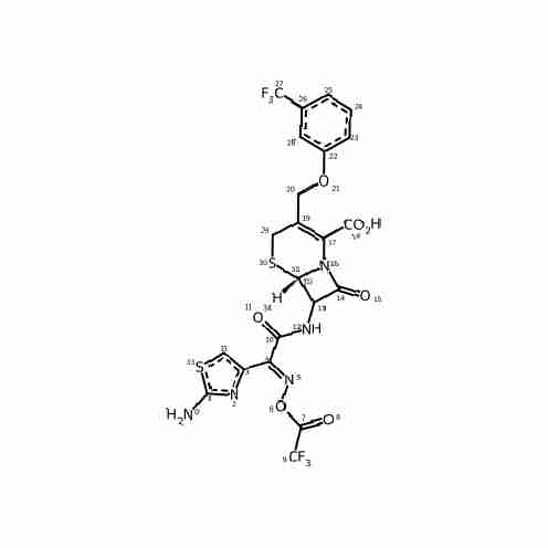 Nc1nc(C(=NOC(=O)C(F)(F)F)C(=O)NC2C(=O)N3C(C(=O)O)=C(COc4cccc(C(F)(F)F)c4)CS[C@@H]23)cs1